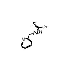 CC(C)C(=S)NCc1ccccn1